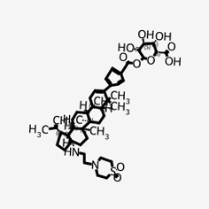 C=C(C)[C@@H]1CC[C@]2(NCCN3CCS(=O)(=O)CC3)CC[C@]3(C)[C@H](CC[C@@H]4[C@@]5(C)CC=C(c6ccc(C(=O)OC7O[C@H](C(=O)O)[C@@H](O)[C@H](O)[C@H]7O)cc6)C(C)(C)[C@@H]5CC[C@]43C)[C@@H]12